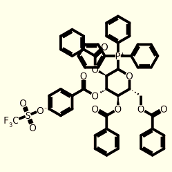 O=C(OC[C@H]1OC([P+](c2ccccc2)(c2ccccc2)c2ccccc2)[C@H](OC(=O)c2ccccc2)[C@@H](OC(=O)c2ccccc2)[C@@H]1OC(=O)c1ccccc1)c1ccccc1.O=S(=O)([O-])C(F)(F)F